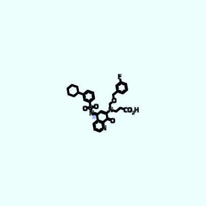 O=C(O)CCN(COCc1cccc(F)c1)C1=C/C(=N\S(=O)(=O)c2cccc(C3CCCCC3)c2)c2cccnc2C1=O